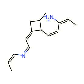 C\C=C/N=C\C=C1\CC(C)C1/C=C\C(N)=C/C